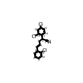 N#CC(CC=Cc1ccccc1Cl)c1ccc(Cl)cc1Cl